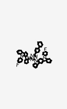 Fc1ccc(-n2c3ccccc3c3cc4c5ccccc5n(-c5nc(-c6ccc(-c7ccccc7)cc6)nc(-n6c7ccccc7c7c6ccc6c8ccccc8n(-c8ccc(F)cc8)c67)n5)c4cc32)cc1